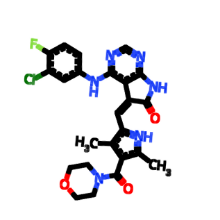 Cc1[nH]c(C=C2C(=O)Nc3ncnc(Nc4ccc(F)c(Cl)c4)c32)c(C)c1C(=O)N1CCOCC1